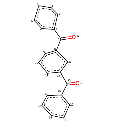 O=C(c1ccccc1)c1c[c]cc(C(=O)c2ccccc2)c1